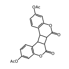 CC(=O)Oc1ccc2c(c1)OC(=O)C1C3C(=O)Oc4cc(OC(C)=O)ccc4C3C21